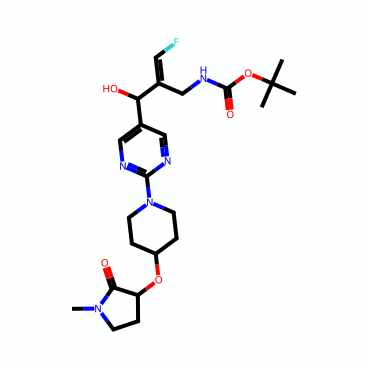 CN1CCC(OC2CCN(c3ncc(C(O)/C(=C/F)CNC(=O)OC(C)(C)C)cn3)CC2)C1=O